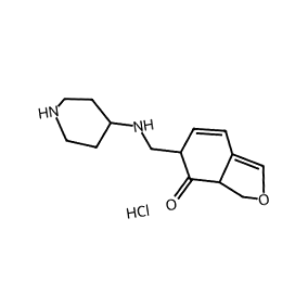 Cl.O=C1C(CNC2CCNCC2)C=CC2=COCC12